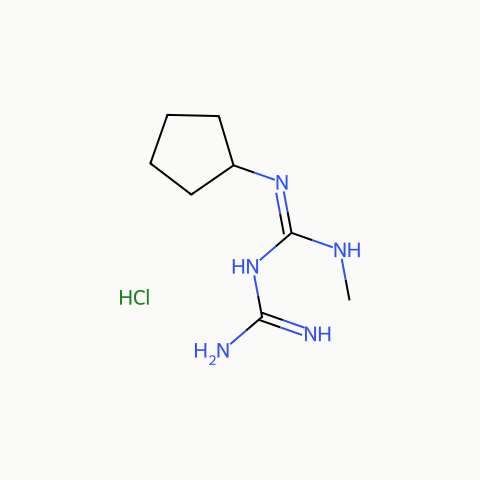 CNC(=NC1CCCC1)NC(=N)N.Cl